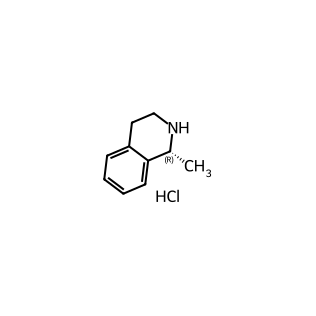 C[C@H]1NCCc2ccccc21.Cl